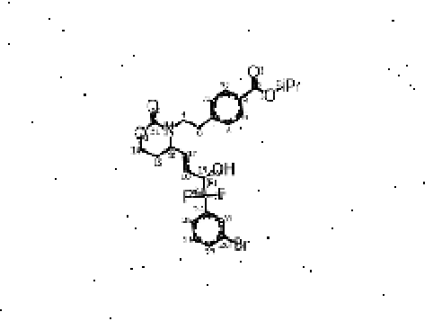 CC(C)OC(=O)c1ccc(CCN2C(=O)OCC[C@@H]2C=C[C@@H](O)C(F)(F)c2cccc(Br)c2)cc1